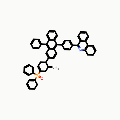 CC1CC(P(=O)(C2=CC=CCC2)c2ccccc2)=CCC1c1ccc2c(-c3ccc(-c4nc5c(c6ccccc46)C=CCC5)cc3)c3ccccc3c(-c3ccccc3)c2c1